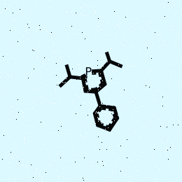 CC(C)c1cc(-c2ccccc2)cc(C(C)C)p1